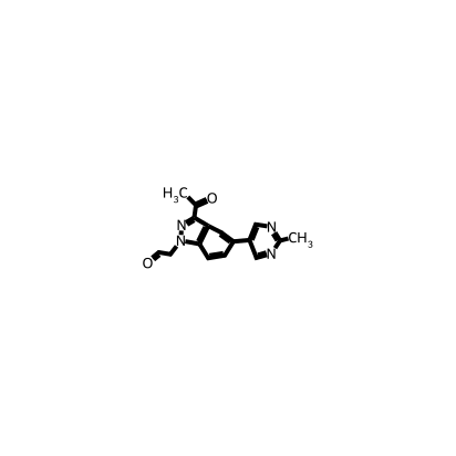 CC(=O)c1nn(CC=O)c2ccc(-c3cnc(C)nc3)cc12